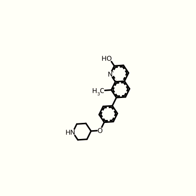 Cc1c(-c2ccc(OC3CCNCC3)cc2)ccc2ccc(O)nc12